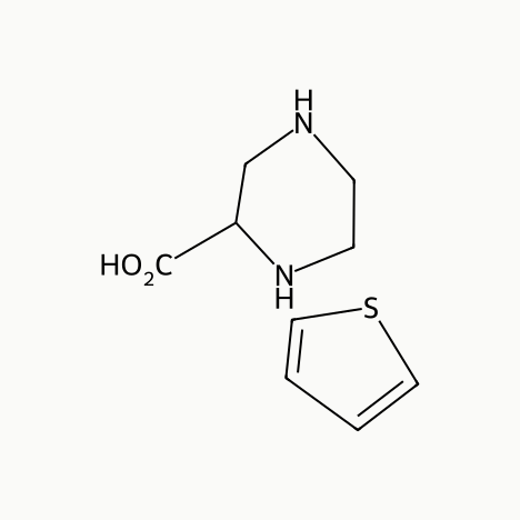 O=C(O)C1CNCCN1.c1ccsc1